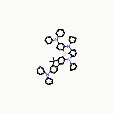 CC1(C)c2cc(N(c3ccccc3)c3ccccc3)ccc2-c2cc3c(cc21)B1c2ccc(N(c4ccccc4)c4ccccc4)cc2N(c2ccccc2)c2cccc(c21)N3c1ccccc1